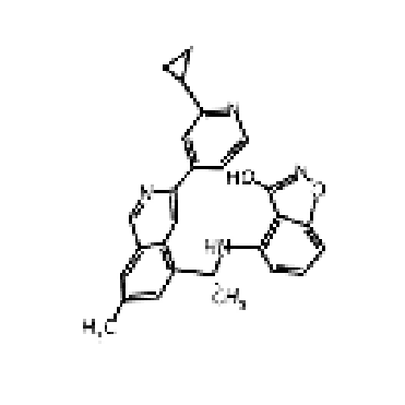 Cc1cc([C@@H](C)Nc2cccc3onc(O)c23)c2cc(-c3ccnc(C4CC4)c3)ncc2c1